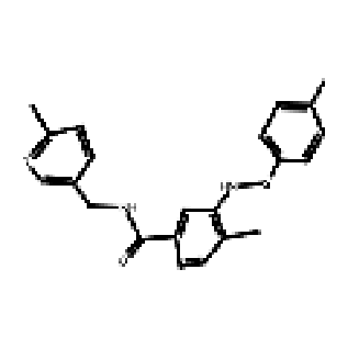 Cc1ccc(SNc2cc(C(=O)NCc3ccc(C)nc3)ccc2C)cc1